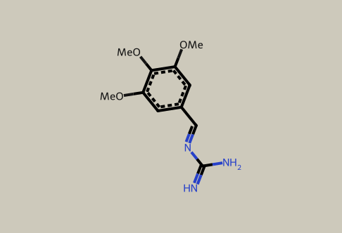 COc1cc(C=NC(=N)N)cc(OC)c1OC